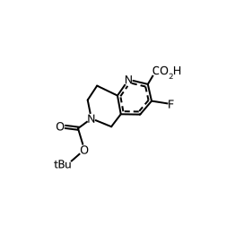 CC(C)(C)OC(=O)N1CCc2nc(C(=O)O)c(F)cc2C1